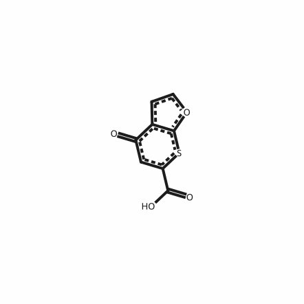 O=C(O)c1cc(=O)c2ccoc2s1